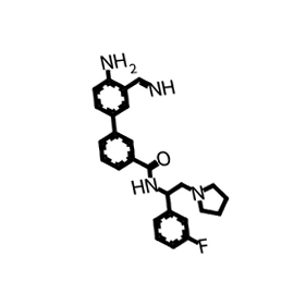 N=Cc1cc(-c2cccc(C(=O)NC(CN3CCCC3)c3cccc(F)c3)c2)ccc1N